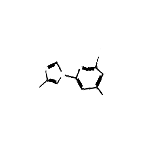 Cc1cn(-c2cc(C(=O)O)cc(Cl)n2)cn1